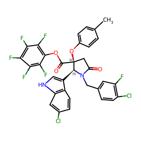 Cc1ccc(O[C@@]2(C(=O)Oc3c(F)c(F)c(F)c(F)c3F)CC(=O)N(Cc3ccc(Cl)c(F)c3)[C@H]2c2c[nH]c3cc(Cl)ccc23)cc1